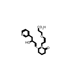 O=C(O)CCO/C=C\CN1C(=O)CCC[C@@H]1/C=C/C(O)Cc1cccnc1